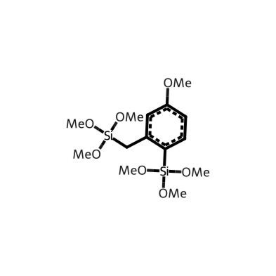 COc1ccc([Si](OC)(OC)OC)c(C[Si](OC)(OC)OC)c1